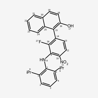 CC(C)c1cccc(C(C)C)c1Nc1c([N+](=O)[O-])ccc(-c2c(O)ccc3ccccc23)c1F